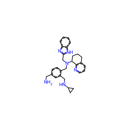 NCc1ccc(CN(Cc2nc3ccccc3[nH]2)C2CCCc3cccnc32)c(CNC2CC2)c1